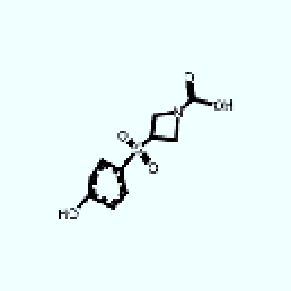 O=C(O)N1CC(S(=O)(=O)c2ccc(O)cc2)C1